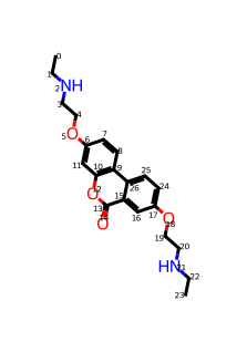 CCNCCOc1ccc2c(c1)oc(=O)c1cc(OCCNCC)ccc12